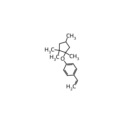 C=Cc1ccc(OC2(C)CC(C)CC2(C)C)cc1